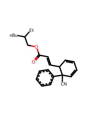 CCCCC(CC)COC(=O)/C=C/C1C=CC=CC1(C#N)c1ccccc1